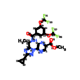 COC(=O)c1cnc(-n2nc(C3CC3)nc2[C@H](C)NC(=O)c2cc(OC(F)F)cc(OC(F)F)c2)cn1